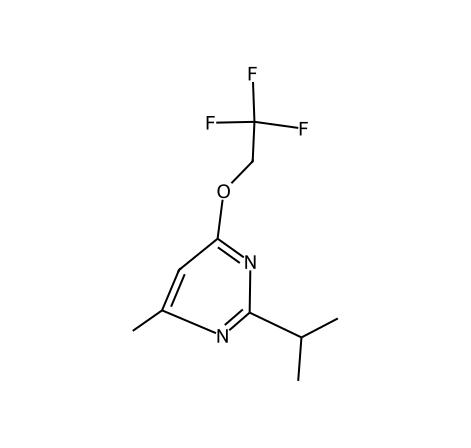 Cc1cc(OCC(F)(F)F)nc(C(C)C)n1